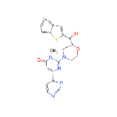 Cn1c(N2CCOC(C(=O)c3cc4ccccc4s3)C2)nc(-c2ccncn2)cc1=O